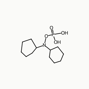 O=P(O)(O)ON(C1CCCCC1)C1CCCCC1